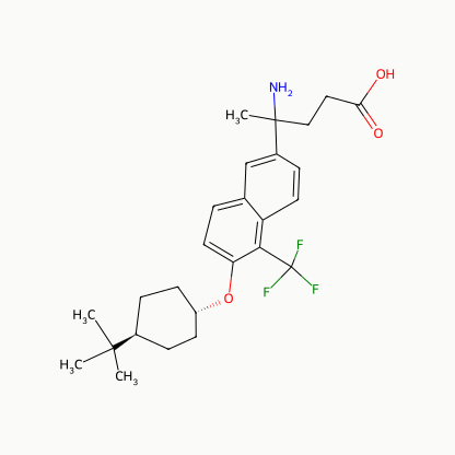 CC(N)(CCC(=O)O)c1ccc2c(C(F)(F)F)c(O[C@H]3CC[C@H](C(C)(C)C)CC3)ccc2c1